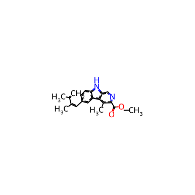 C=C(C)C(C)=Cc1ccc2[nH]c3cnc(C(=O)OCC)c(C)c3c2c1